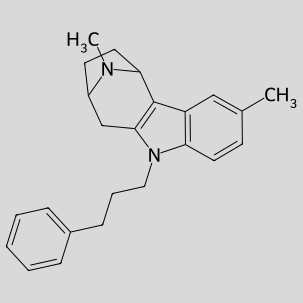 Cc1ccc2c(c1)c1c(n2CCCc2ccccc2)CC2CCC1N2C